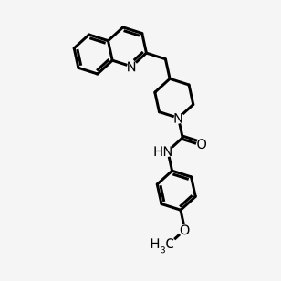 COc1ccc(NC(=O)N2CCC(Cc3ccc4ccccc4n3)CC2)cc1